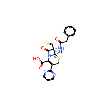 O=C(Cc1ccccc1)N[C@@]1(C=S)C(=O)N2C(C(=O)O)=C(c3ncccn3)CS[C@@H]21